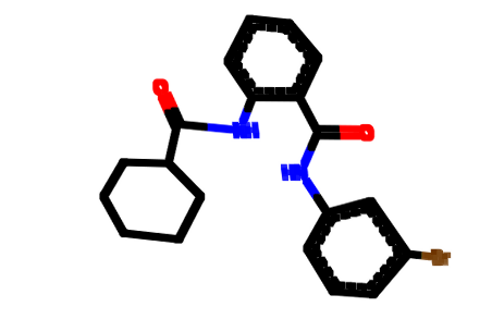 O=C(Nc1cccc(Br)c1)c1ccccc1NC(=O)C1CCCCC1